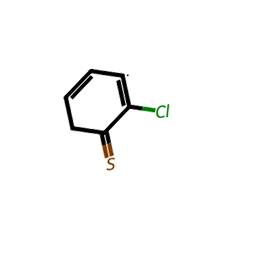 S=C1CC=C[C]=C1Cl